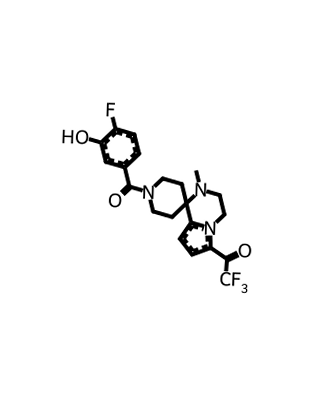 CN1CCn2c(C(=O)C(F)(F)F)ccc2C12CCN(C(=O)c1ccc(F)c(O)c1)CC2